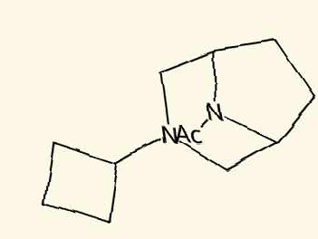 CC(=O)N1C2CCC1CN(C1CCC1)C2